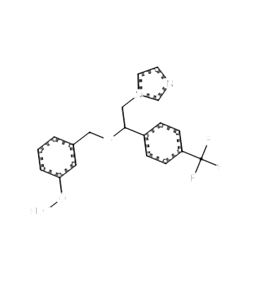 COc1cccc(COC(Cn2ccnc2)c2ccc(C(F)(F)F)cc2)c1